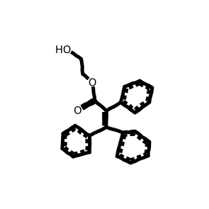 O=C(OCCO)C(=C(c1ccccc1)c1ccccc1)c1ccccc1